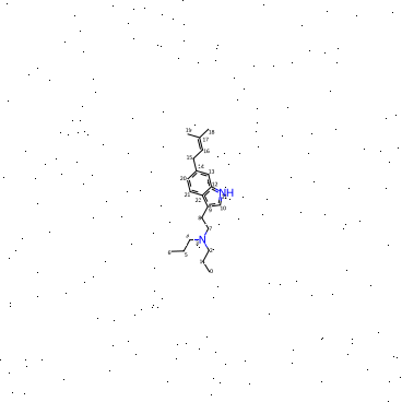 CCCN(CCC)CCc1c[nH]c2cc(CC=C(C)C)ccc12